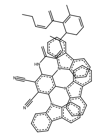 C=C(/C=C\C(C)C1CC=CC(C)=C1C(=C)/C=C\CC)Nc1c(C#N)c(C#N)c(-n2c3ccccc3c3ccccc32)c(-n2c3ccccc3c3ccccc32)c1-n1c2ccccc2c2ccccc21